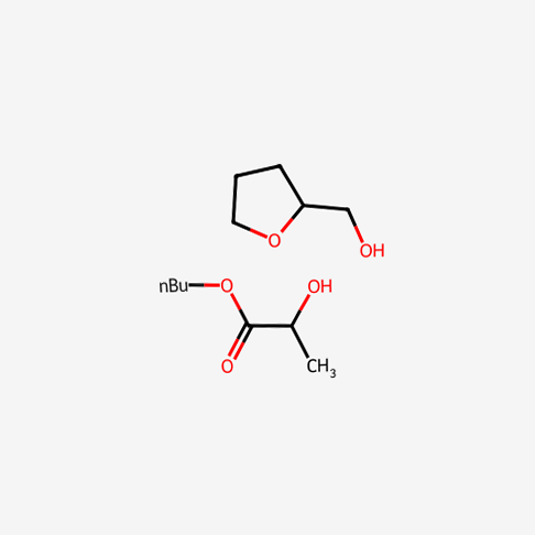 CCCCOC(=O)C(C)O.OCC1CCCO1